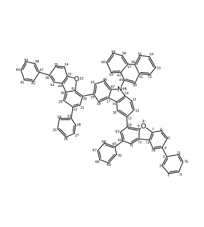 c1ccc(-c2ccc3oc4c(-c5ccc6c(c5)c5cc(-c7cc(-c8ccccc8)cc8c7oc7ccc(-c9ccccc9)cc78)ccc5n6-c5cc6ccccc6c6ccccc56)cc(-c5ccccc5)cc4c3c2)cc1